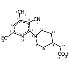 Cc1cc(C)c(C#N)c(N2CCC(CC(=O)O)CC2)n1